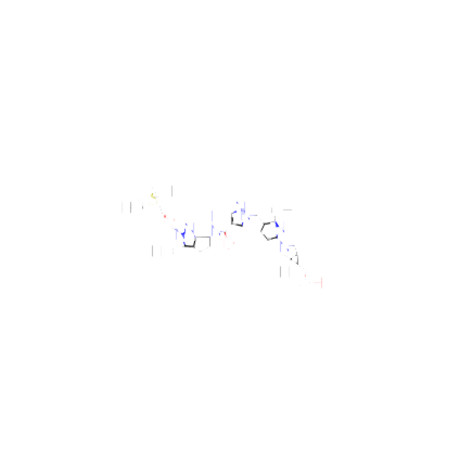 Cc1nc(N2CC3C(CO)[C@@H]3C2)ccc1Cn1cc(C(=O)NC2CCc3c2nn(COCCS(C)(C)C)c3C)cn1